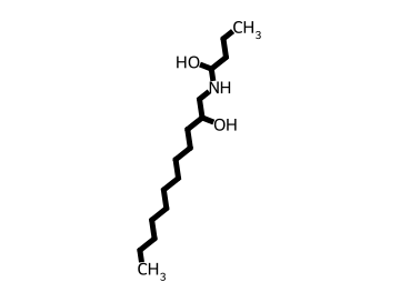 CCCCCCCCCCC(O)CNC(O)CCC